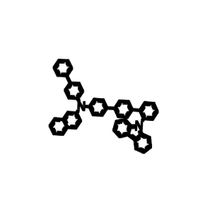 c1ccc(-c2ccc(N(c3ccc(-c4ccc(-c5ccccc5-n5c6ccccc6c6ccccc65)cc4)cc3)c3ccc4ccccc4c3)cc2)cc1